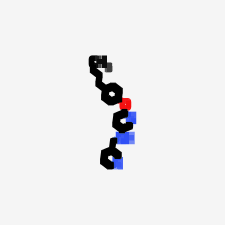 CCCCc1ccc(Oc2ccc(NCc3cccnc3)cn2)cc1